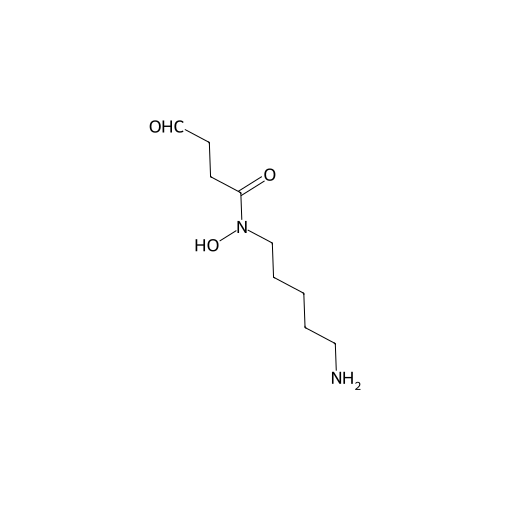 NCCCCCN(O)C(=O)CCC=O